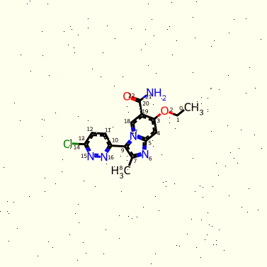 CCOc1cc2nc(C)c(-c3ccc(Cl)nn3)n2cc1C(N)=O